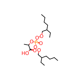 CCCCC(CC)COOP(=O)(OOCC(CC)CCCC)OC(C)C(=O)O